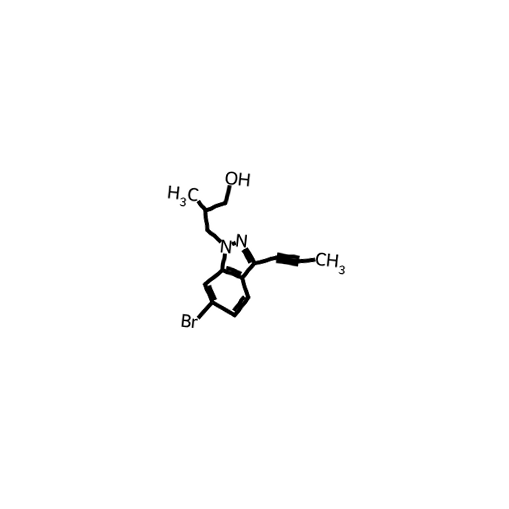 CC#Cc1nn(CC(C)CO)c2cc(Br)ccc12